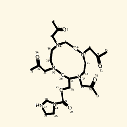 CC(=O)CN1CCN(CC(C)=O)CCN(CC(C)=O)C(COC(=O)N2CCNC2)CN(CC(C)=O)CC1